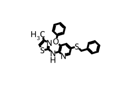 Cc1csc(Nc2ncc(SCc3ccccc3)cc2Oc2ccccc2)n1